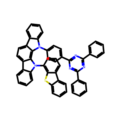 c1ccc(-c2nc(-c3ccccc3)nc(-c3ccc(-n4c5ccccc5c5ccc6c7ccccc7n(-c7cccc8c7sc7ccccc78)c6c54)cc3)n2)cc1